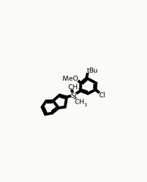 COc1c(C(C)(C)C)cc(Cl)cc1[Si](C)(C)C1=Cc2ccccc2C1